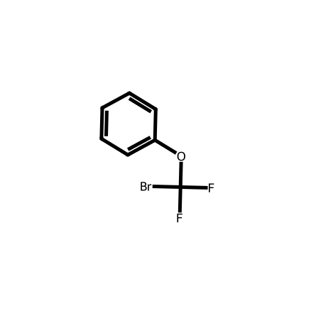 FC(F)(Br)Oc1ccccc1